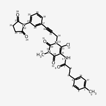 Cc1ccc(CCC(=O)Nc2c(Cl)n(CC#Cc3cccc(N4C(=O)CCC4=O)c3)c(=O)n(C)c2=O)cc1